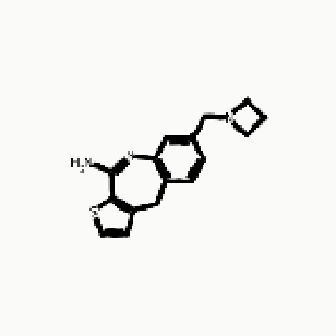 NC1=Nc2cc(CN3CCC3)ccc2Cc2ccsc21